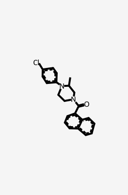 CC1CN(C(=O)c2cccc3ccccc23)CCN1c1ccc(Cl)cc1